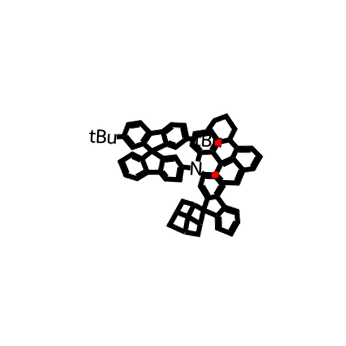 CC(C)(C)c1ccc2c(c1)C1(c3ccccc3-c3ccc(N(c4ccc5c(c4)C4(c6ccccc6-5)C5CC6CC7CC4C675)c4ccccc4-c4cccc5cccc(C6CCCCC6)c45)cc31)c1cc(C(C)(C)C)ccc1-2